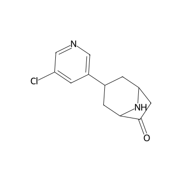 O=C1CC2CC(c3cncc(Cl)c3)CC1N2